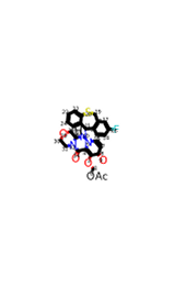 CC(=O)OCOc1c2n(c#cc1=O)N([C@H]1c3ccc(F)cc3CSc3ccccc31)[C@@H]1COCCN1C2=O